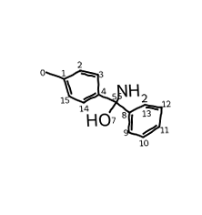 Cc1ccc(C(N)(O)c2ccccc2)cc1